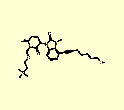 Cn1c(=O)n(C2CCC(=O)N(COCC[Si](C)(C)C)C2=O)c2cccc(C#CCCCCCO)c21